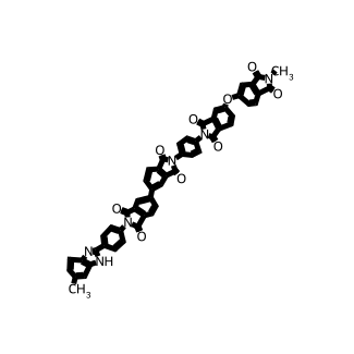 Cc1ccc2nc(-c3ccc(N4C(=O)c5ccc(-c6ccc7c(c6)C(=O)N(c6ccc(N8C(=O)c9ccc(Oc%10ccc%11c(c%10)C(=O)N(C)C%11=O)cc9C8=O)cc6)C7=O)cc5C4=O)cc3)[nH]c2c1